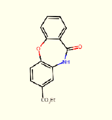 CCOC(=O)c1ccc2c(c1)NC(=O)c1ccccc1O2